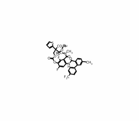 CCC(C)OC(=O)C(COC(=O)Oc1c(F)cc(NC(=O)c2ccc(C)cc2-c2ccc(C(F)(F)F)cc2)c(C(=O)N(C)C)c1F)(C(=O)O)c1cccs1